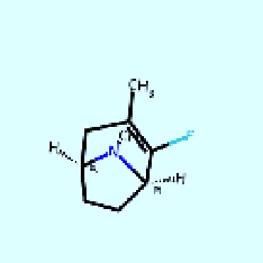 CC1=C(F)[C@H]2CC[C@@H](C1)N2C